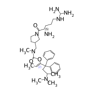 C/C=C(\OC(=O)N(C)CC1CCN(C(=O)[C@@H](N)CCCNC(N)N)C1)C(CC(C)N(C)C)(c1ccccc1)c1ccccc1